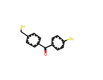 O=C(c1ccc(S)cc1)c1ccc(CS)cc1